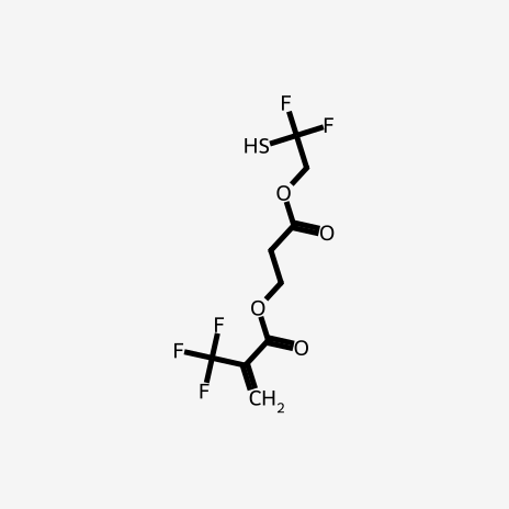 C=C(C(=O)OCCC(=O)OCC(F)(F)S)C(F)(F)F